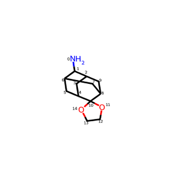 NC1C2CC3CC1CC(C2)C31OCCO1